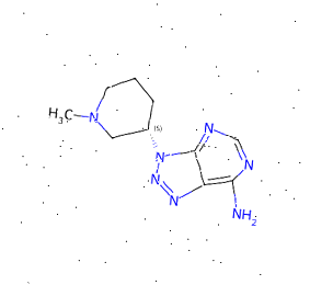 CN1CCC[C@H](n2nnc3c(N)ncnc32)C1